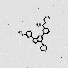 CCC[C@H](N)c1cccc(-c2cc(N3CCSCC3)c3cnn(-c4cccc(CO)n4)c3c2)n1